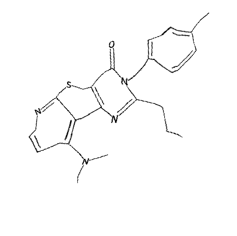 CCCc1nc2c(sc3nccc(N(C)C)c32)c(=O)n1-c1ccc(C)cc1